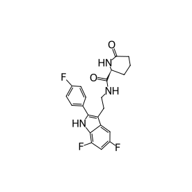 O=C1CCC[C@@H](C(=O)NCCc2c(-c3ccc(F)cc3)[nH]c3c(F)cc(F)cc23)N1